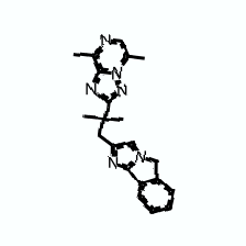 Cc1ncc(C)n2nc(C(C)(C)Cc3cn4c(n3)-c3ccccc3C4)nc12